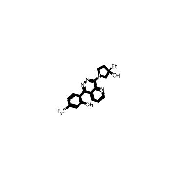 CC[C@]1(O)CCN(c2nnc(-c3ccc(C(F)(F)F)cc3O)c3cccnc23)C1